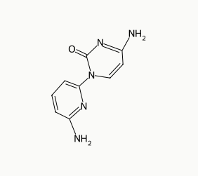 Nc1cccc(-n2ccc(N)nc2=O)n1